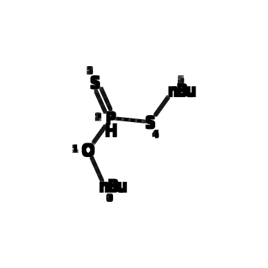 CCCCO[PH](=S)SCCCC